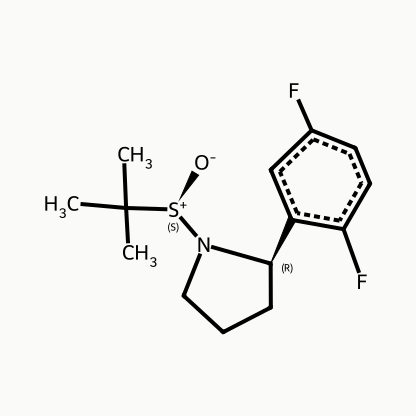 CC(C)(C)[S@@+]([O-])N1CCC[C@@H]1c1cc(F)ccc1F